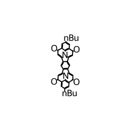 CCCCc1cc2c(=O)cc3c4cc5c(cc4c4cc(=O)c(c1)c2n34)c1cc(=O)c2cc(CCCC)cc3c(=O)cc5n1c32